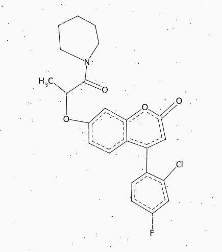 CC(Oc1ccc2c(-c3ccc(F)cc3Cl)cc(=O)oc2c1)C(=O)N1CCCCC1